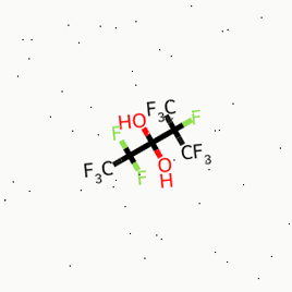 OC(O)(C(F)(F)C(F)(F)F)C(F)(C(F)(F)F)C(F)(F)F